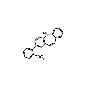 O=[N+]([O-])c1ccccc1-c1ccc2c(c1)C=Cc1ccccc1N2